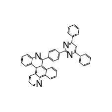 c1ccc(-c2cc(-c3ccccc3)nc(-c3ccc(-c4nc5ccccc5c5c6cccnc6c6ccccc6c45)cc3)n2)cc1